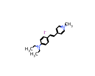 CCN(CC)c1ccc(/C=C/c2cc[n+](C)cc2)cc1.[I-]